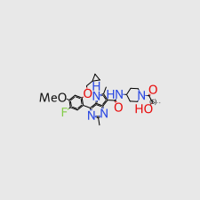 COc1cc(OCC2CC2)c(-c2nc(C)nc3c(C(=O)NC4CCN(C(=O)[C@H](C)O)CC4)c(C)[nH]c23)cc1F